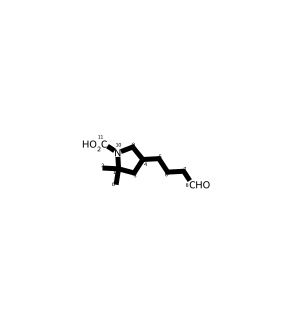 CC1(C)CC(CCCC=O)CN1C(=O)O